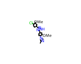 COc1cc(-c2n[nH]c(-c3ccc(-n4cnc(C)c4)c(OC)c3)n2)ccc1Cl